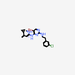 C=C(/C=C(\NC)Nc1nc(NCCc2cccc(Cl)c2)ncc1Br)C1CC1